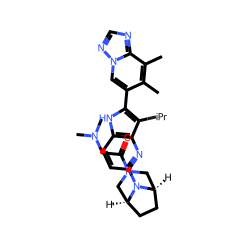 Cc1c(-c2[nH]c3ccc(N4[C@@H]5CC[C@H]4CN(C(=O)CN(C)C)C5)nc3c2C(C)C)cn2ncnc2c1C